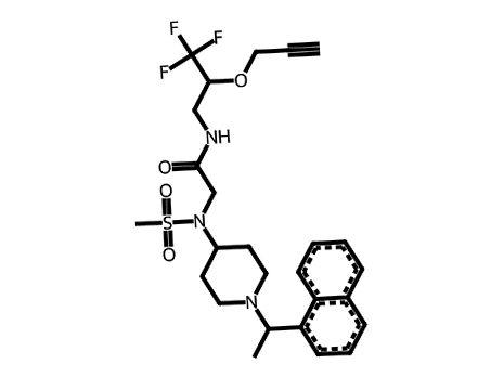 C#CCOC(CNC(=O)CN(C1CCN(C(C)c2cccc3ccccc23)CC1)S(C)(=O)=O)C(F)(F)F